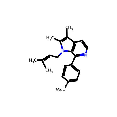 COc1ccc(-c2nccc3c(C)c(C)n(CC=C(C)C)c23)cc1